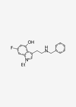 CCn1cc(CCNCc2ccccc2)c2c(O)cc(F)cc21